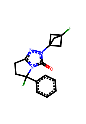 O=c1n(C23CC(F)(C2)C3)nc2n1C(F)(c1ccccc1)CC2